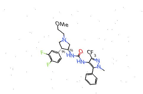 COCCN1C[C@@H](NC(=O)Nc2c(C(F)(F)F)nn(C)c2-c2ccccc2)[C@H](c2ccc(F)c(F)c2)C1